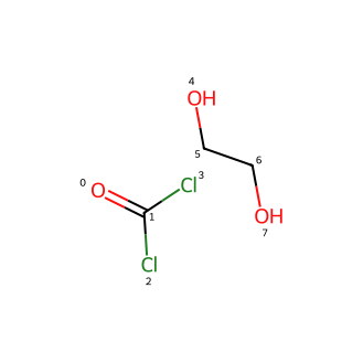 O=C(Cl)Cl.OCCO